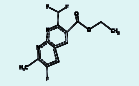 CCOC(=O)c1cc2cc(F)c(C)nc2nc1C(F)F